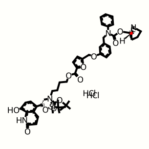 CC(C)(C)OC(=O)N(CCCCOC(=O)c1ccc(COc2cccc(CN(C(=O)O[C@H]3CN4CCC3CC4)c3ccccc3)c2)o1)C[C@H](O[Si](C)(C)C(C)(C)C)c1ccc(O)c2[nH]c(=O)ccc12.Cl.Cl